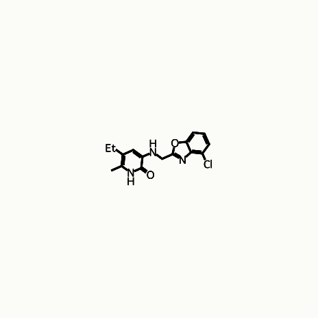 CCc1cc(NCc2nc3c(Cl)cccc3o2)c(=O)[nH]c1C